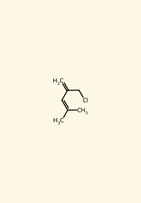 C=C(C=C(C)C)CCl